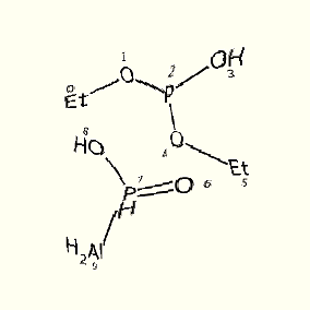 CCOP(O)OCC.O=[PH](O)[AlH2]